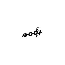 CC(C)Oc1c(F)cc(-c2ccc(C3=C4CC(C)(CC3)C4)cc2)cc1F